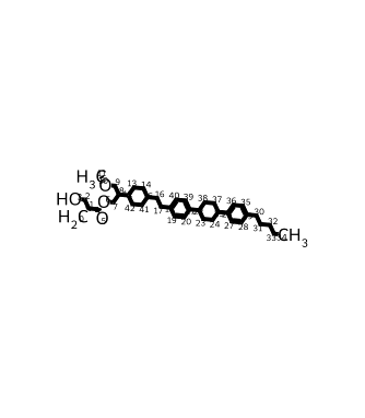 C=C(CO)C(=O)OCC(COC)C1CCC(CCc2ccc(C3CCC(c4ccc(CCCCC)cc4)CC3)cc2)CC1